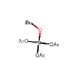 CCC(C)O[Si](OC(C)=O)(OC(C)=O)OC(C)=O